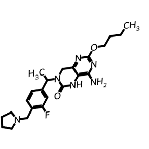 CCCCOc1nc(N)c2c(n1)CN(C(C)c1ccc(CN3CCCC3)c(F)c1)C(=O)N2